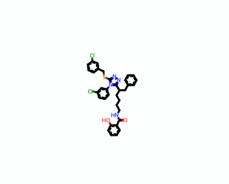 O=C(NCCCCC(Cc1ccccc1)c1nnc(SCc2cccc(Cl)c2)n1-c1cccc(Cl)c1)c1ccccc1O